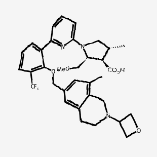 COC[C@@H]1[C@H](C(=O)O)[C@@H](C)CN1c1cccc(-c2cccc(C(F)(F)F)c2OCc2cc(C)c3c(c2)CCN(C2COC2)C3)n1